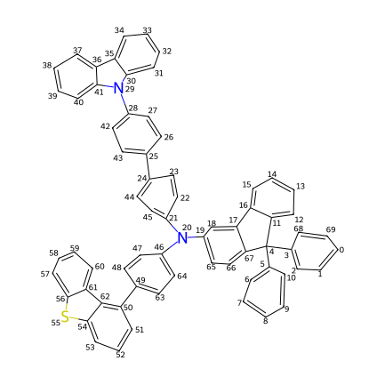 c1ccc(C2(c3ccccc3)c3ccccc3-c3cc(N(c4ccc(-c5ccc(-n6c7ccccc7c7ccccc76)cc5)cc4)c4ccc(-c5cccc6sc7ccccc7c56)cc4)ccc32)cc1